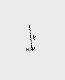 CCCCCCCCCCCCCCCCCCCC(N)=O.CCN(CC)CC